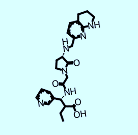 CCC(C(=O)O)[C@@H](NC(=O)CN1CC[C@H](NCc2ccc3c(n2)NCCC3)C1=O)c1cccnc1